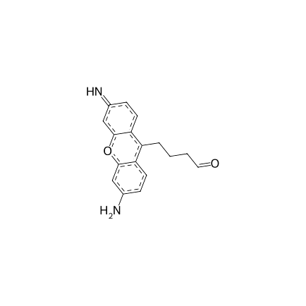 N=c1ccc2c(CCCC=O)c3ccc(N)cc3oc-2c1